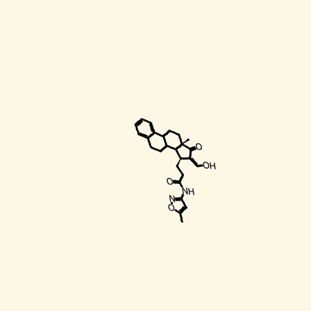 Cc1cc(NC(=O)CC[C@@H]2/C(=C/O)C(=O)[C@@]3(C)CCC4c5ccccc5CCC4C23)no1